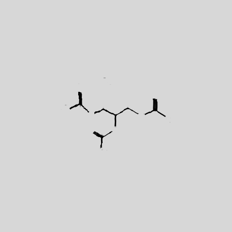 CCCC(=O)OCC(COC(=O)CCC)OC(=O)CCC.O